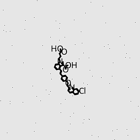 O=C(O)CCCn1cc(C(=O)O)c2c(C=Cc3ccc(OCc4ccc5ccc(Cl)cc5n4)cc3)cccc21